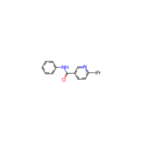 CC(C)c1ccc(C(=O)Nc2ccccc2)cn1